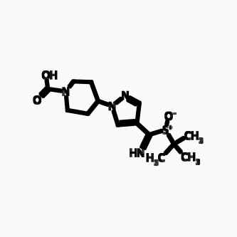 CC(C)(C)[S+]([O-])C(=N)c1cnn(C2CCN(C(=O)O)CC2)c1